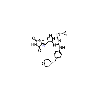 O=C1NC(=O)/C(=C/c2cnn3c(NC4CC4)nc(Nc4ccc(CN5CCOCC5)cc4)nc23)N1